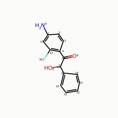 Nc1ccc(C(=O)C(O)c2ccccc2)c(F)c1